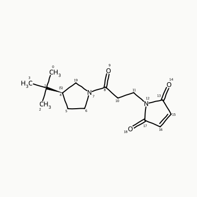 CC(C)(C)[C@@H]1CCN(C(=O)CCN2C(=O)C=CC2=O)C1